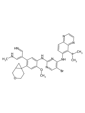 CN/C=C(\C=N)c1cc(Nc2ncc(Br)c(Nc3ccc4nccnc4c3P(C)C)n2)c(OC)cc1C12CCOCC1C2